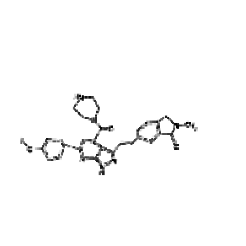 CN1Cc2ccc(/C=C/c3n[nH]c4nc(-c5ccc(OI)cc5)cc(C(=O)N5CCNCC5)c34)cc2C1=O